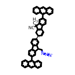 CC1(C#N)C2=C(C=C[C@@H](c3ccc4c(c3)C(CN=[N+]=[N-])c3cc(-c5c6ccccc6cc6ccccc56)ccc3-4)C2)c2ccc(-c3c4ccccc4cc4ccccc34)cc21